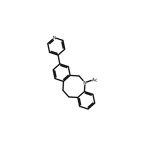 CC(=O)N1Cc2cc(-c3ccncc3)ccc2CCc2ccccc21